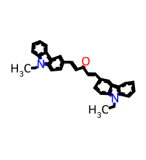 CCn1c2ccccc2c2cc(/C=C/C(=O)/C=C/c3ccc4c(c3)c3ccccc3n4CC)ccc21